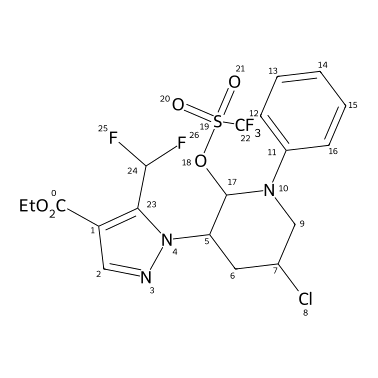 CCOC(=O)c1cnn(C2CC(Cl)CN(c3ccccc3)C2OS(=O)(=O)C(F)(F)F)c1C(F)F